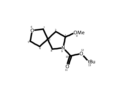 COC1CC2(CCOC2)CN1C(=O)OC(C)(C)C